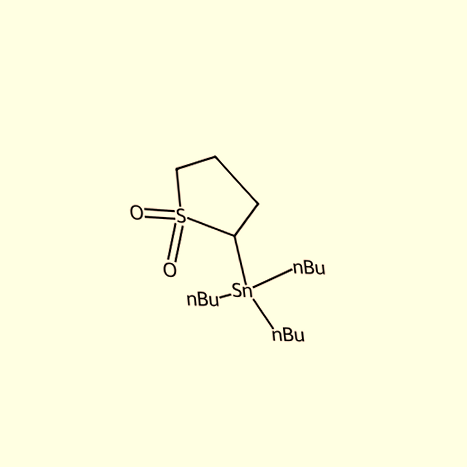 CCC[CH2][Sn]([CH2]CCC)([CH2]CCC)[CH]1CCCS1(=O)=O